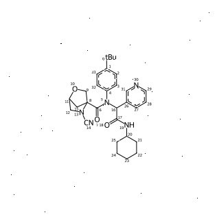 CC(C)(C)c1ccc(N(C(=O)C23COC(CN2C#N)C3)C(C(=O)NC2CCCCC2)c2cccnc2)cc1